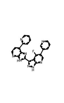 Fc1c(-c2cccnc2)cnc2[nH]nc(-c3nc4c(-c5ccccn5)ccnc4[nH]3)c12